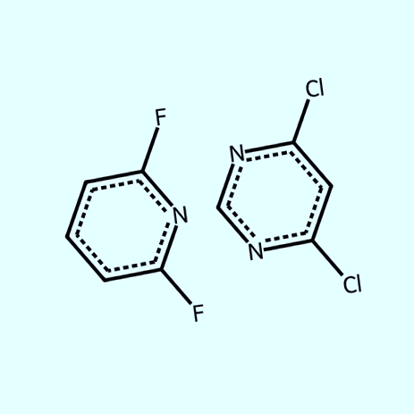 Clc1cc(Cl)ncn1.Fc1cccc(F)n1